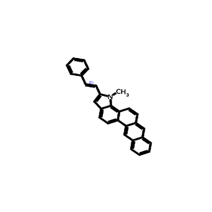 Cn1c(/C=C/c2ccccc2)cc2ccc3c4cc5ccccc5cc4ccc3c21